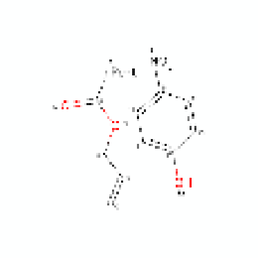 C=CCOC(=O)CCCCC.O=[N+]([O-])c1ccc(O)cc1